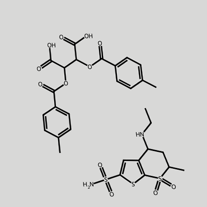 CCNC1CC(C)S(=O)(=O)c2sc(S(N)(=O)=O)cc21.Cc1ccc(C(=O)OC(C(=O)O)C(OC(=O)c2ccc(C)cc2)C(=O)O)cc1